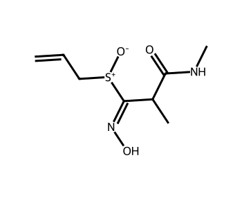 C=CC[S+]([O-])C(=NO)C(C)C(=O)NC